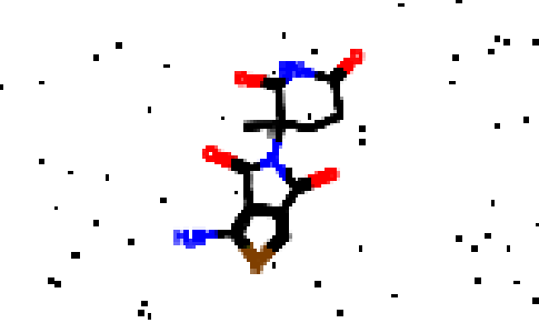 C[C@]1(N2C(=O)c3csc(N)c3C2=O)CCC(=O)NC1=O